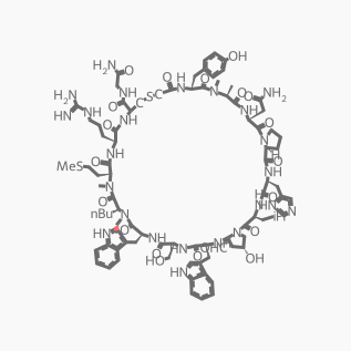 CCCC[C@H]1C(=O)N(C)[C@@H](CCSC)C(=O)N[C@@H](CCCNC(=N)N)C(=O)NC(C(=O)NCC(N)=O)CSCC(=O)N[C@@H](Cc2ccc(O)cc2)C(=O)N(C)[C@@H](C)C(=O)N[C@@H](CC(N)=O)C(=O)N2CCC[C@H]2C(=O)N[C@@H](Cc2cnc[nH]2)C(=O)N[C@@H](CC(C)C)C(=O)N2C[C@H](O)CC2(C=O)N[C@@H](Cc2c[nH]c3ccccc23)C(=O)N[C@@H](CO)C(=O)N[C@@H](Cc2c[nH]c3ccccc23)C(=O)N1C